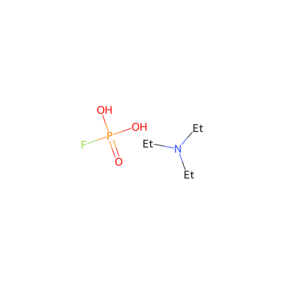 CCN(CC)CC.O=P(O)(O)F